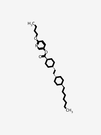 CCCCCCC[C@H]1CC[C@H](CC[C@H]2CC[C@H](C(=O)Oc3ccc(OCCCC)nc3)CC2)CC1